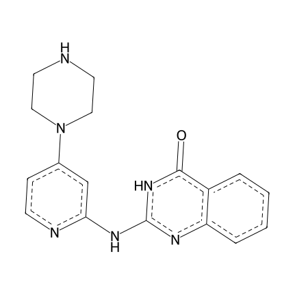 O=c1[nH]c(Nc2cc(N3CCNCC3)ccn2)nc2ccccc12